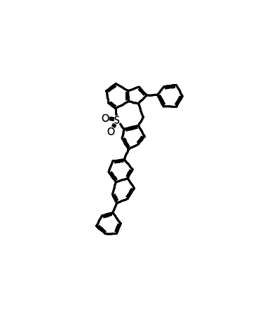 O=S1(=O)c2cc(-c3ccc4cc(-c5ccccc5)ccc4c3)ccc2CC2C(c3ccccc3)=Cc3cccc1c32